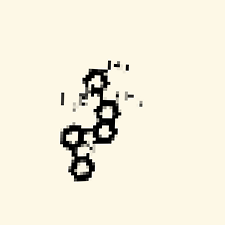 Cc1cc2ccc3c(c2cc1-c1cc(C(C)(C)C)cc[n+]1C)c1cccc2c4ccccc4n3c21